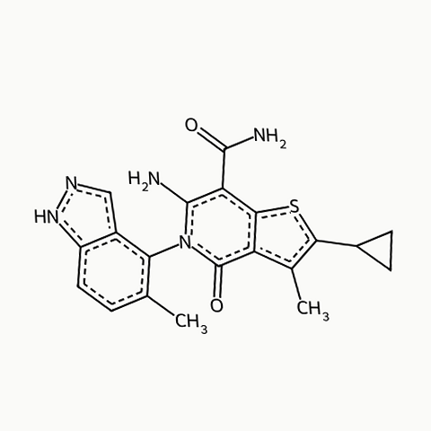 Cc1ccc2[nH]ncc2c1-n1c(N)c(C(N)=O)c2sc(C3CC3)c(C)c2c1=O